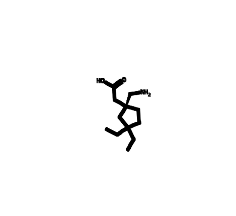 CCC1(CC)CC[C@@](CN)(CC(=O)O)C1